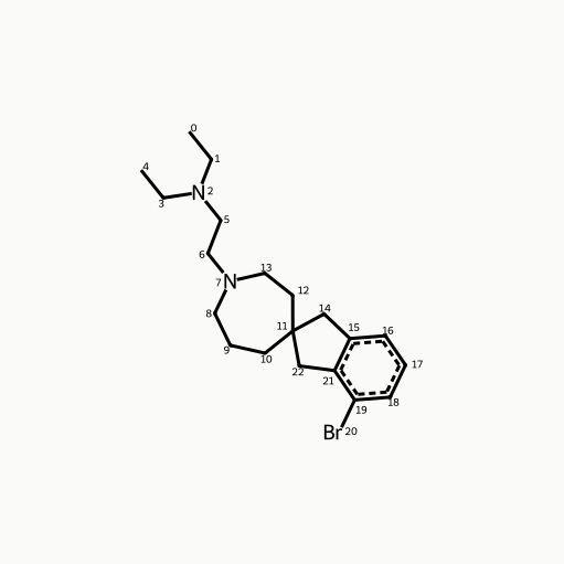 CCN(CC)CCN1CCCC2(CC1)Cc1cccc(Br)c1C2